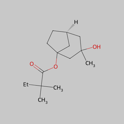 CCC(C)(C)C(=O)OC12CC[C@@H](CC(C)(O)C1)C2